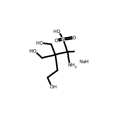 CC(N)(C(CO)(CO)CCO)S(=O)(=O)O.[NaH]